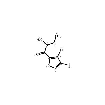 CON(C)C(=O)c1snc(Cl)c1Cl